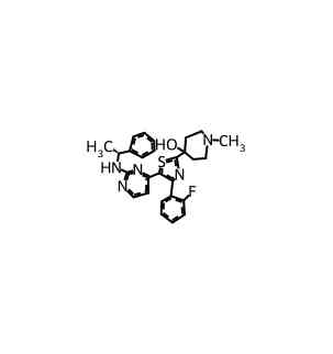 C[C@H](Nc1nccc(-c2sc(C3(O)CCN(C)CC3)nc2-c2ccccc2F)n1)c1ccccc1